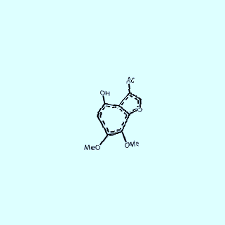 COc1cc(O)c2c(C(C)=O)coc2c1OC